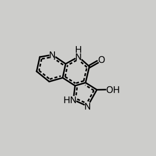 O=c1[nH]c2ncccc2c2[nH]nc(O)c12